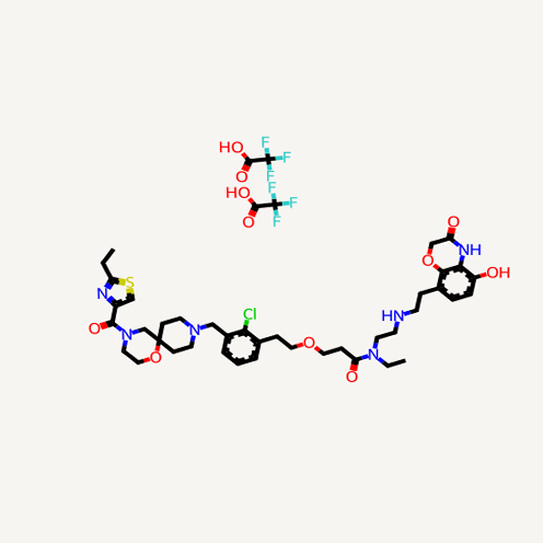 CCc1nc(C(=O)N2CCOC3(CCN(Cc4cccc(CCOCCC(=O)N(CC)CCNCCc5ccc(O)c6c5OCC(=O)N6)c4Cl)CC3)C2)cs1.O=C(O)C(F)(F)F.O=C(O)C(F)(F)F